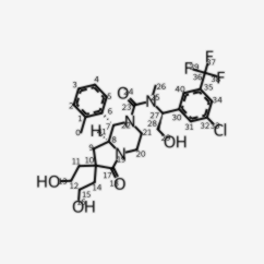 Cc1ccccc1[C@H]1[C@@H]2CC(CCO)(CCO)C(=O)N2CCN1C(=O)N(C)[C@H](CO)c1cc(Cl)cc(C(F)(F)F)c1